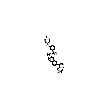 C=C/C(=C(/CO)N(C)C)c1ccc2cnc(NC(=O)c3cccc(OC4CCN(C)CC4)c3)cc2c1